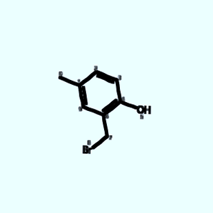 Cc1ccc(O)c(CBr)c1